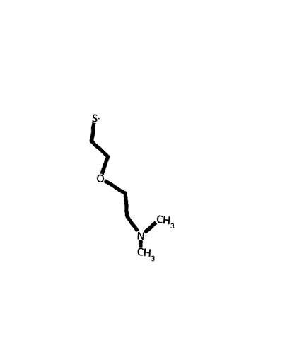 CN(C)CCOCC[S]